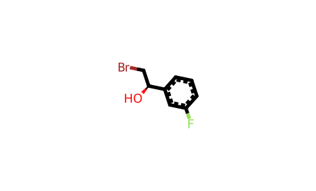 O[C@@H](CBr)c1cccc(F)c1